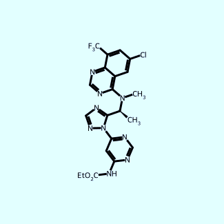 CCOC(=O)Nc1cc(-n2ncnc2[C@H](C)N(C)c2ncnc3c(C(F)(F)F)cc(Cl)cc23)ncn1